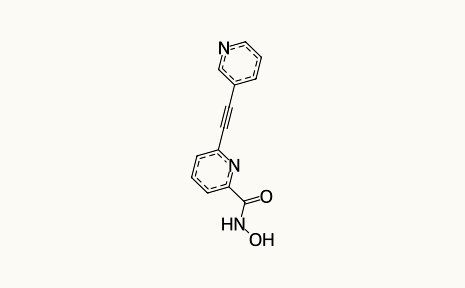 O=C(NO)c1cccc(C#Cc2cccnc2)n1